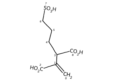 C=C(C(=O)O)C(CCCS(=O)(=O)O)C(=O)O